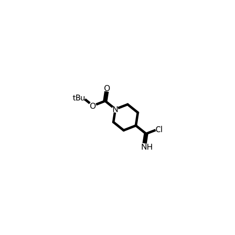 CC(C)(C)OC(=O)N1CCC(C(=N)Cl)CC1